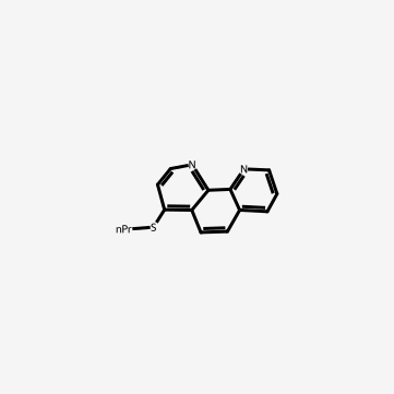 CCCSc1ccnc2c1ccc1cccnc12